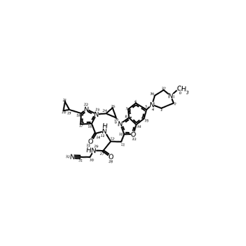 CN1CCN(c2ccc3nc(CC(NC(=O)c4cc(C5CC5)nn4C4CC4)C(=O)NCC#N)oc3c2)CC1